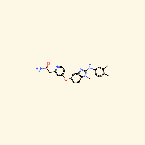 Cc1ccc(Nc2nc3cc(Oc4ccnc(CC(N)=O)c4)ccc3n2C)cc1C